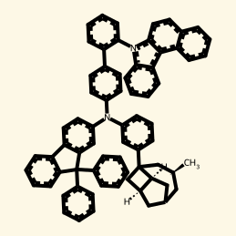 C[C@H]1CC2C[C@H]3CC(c4cccc(N(c5ccc(-c6ccccc6-n6c7ccccc7c7c8ccccc8ccc76)cc5)c5ccc6c(c5)C(c5ccccc5)(c5ccccc5)c5ccccc5-6)c4)(C1)[C@H]3C2